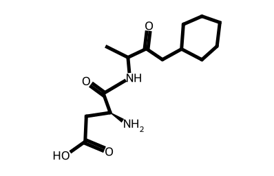 CC(NC(=O)[C@@H](N)CC(=O)O)C(=O)CC1CCCCC1